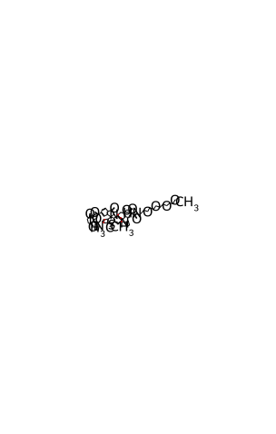 COCCOCCOCCOCCNC(=O)c1cc2c(oc1=O)CC(N1C(=O)c3ccc(C(=O)ON4C(=O)CCC4=O)cc3C13c1c#cc(N4CCC4)cc1S(C)(C)c1cc(N4CCC4)ccc13)C=C2